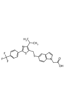 CC(C)c1nc(-c2ccc(C(F)(F)F)cc2)sc1CSc1ccc2c(ccn2CC(=O)O)c1